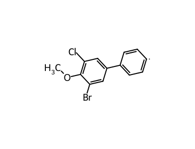 COc1c(Cl)cc(-c2cc[c]cc2)cc1Br